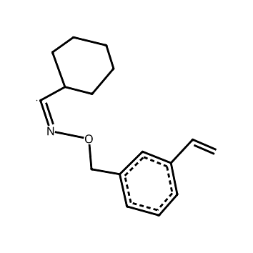 C=Cc1cccc(CO/N=[C]\C2CCCCC2)c1